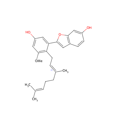 COc1cc(O)cc(-c2cc3ccc(O)cc3o2)c1C/C=C(\C)CCC=C(C)C